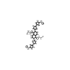 CCCOc1c(-c2ccc(-c3ccc(C=O)s3)s2)ccc2c(OCCC)c(-c3ccc(-c4ccc(C=O)s4)s3)ccc12